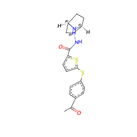 CC(=O)c1ccc(Sc2ccc(C(=O)N[C@@H]3C[C@H]4CC[C@@H]3N4)s2)cc1